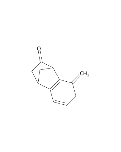 C=C1CC=CC2=C1C1CC2CC1=O